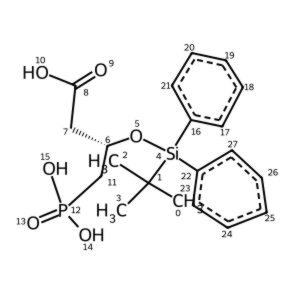 CC(C)(C)[Si](O[C@@H](CC(=O)O)CP(=O)(O)O)(c1ccccc1)c1ccccc1